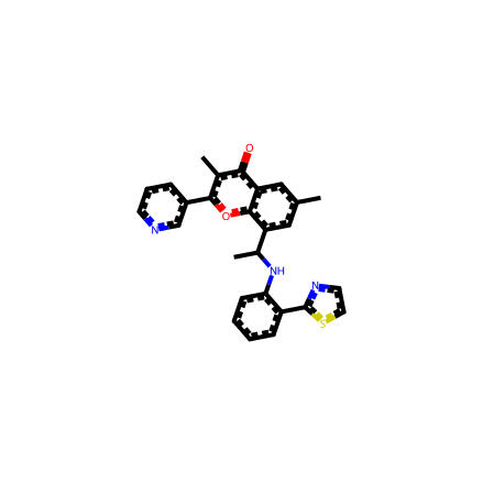 Cc1cc(C(C)Nc2ccccc2-c2nccs2)c2oc(-c3cccnc3)c(C)c(=O)c2c1